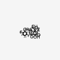 Cc1cc(CNC(=O)c2nc3n(c(=O)c2O)CCOC3C(C)C)ccc1F